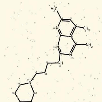 Cc1cc(C)c2c(N)nc(NCCCN3CCCCC3)nc2n1